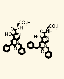 O=C(O)CNC(=O)c1ncc2c(cc(-c3ccccc3)c(=O)n2Cc2ccccc2)c1O.O=C(O)CNC(=O)c1ncc2c(cc(Cc3ccccc3)c(=O)n2Cc2ccccc2)c1O